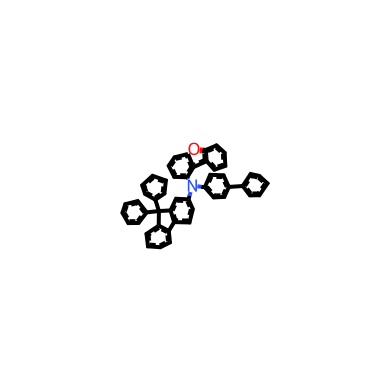 c1ccc(-c2ccc(N(c3ccc4c(c3)C(c3ccccc3)(c3ccccc3)c3ccccc3-4)c3cccc4oc5ccccc5c34)cc2)cc1